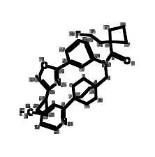 O=C(N(CC12CCC(c3cc(C(F)(F)F)ccn3)(CC1)CC2)c1cccc(-c2nc(C3CC3)no2)c1)C1(CCF)CCC1